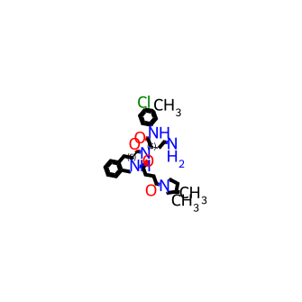 Cc1cc(NC(=O)[C@H](CCN)NC(=O)[C@@H]2Cc3ccccc3CN2C(=O)CCC(=O)N2CCC(C)(C)C2)ccc1Cl